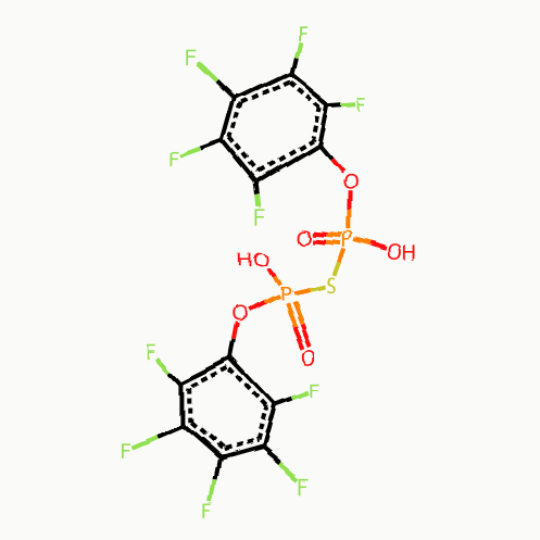 O=P(O)(Oc1c(F)c(F)c(F)c(F)c1F)SP(=O)(O)Oc1c(F)c(F)c(F)c(F)c1F